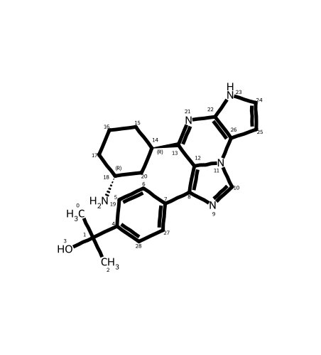 CC(C)(O)c1ccc(-c2ncn3c2c([C@@H]2CCC[C@@H](N)C2)nc2[nH]ccc23)cc1